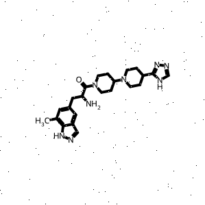 Cc1cc(CC(N)C(=O)N2CCC(N3CCC(c4nnc[nH]4)CC3)CC2)cc2cn[nH]c12